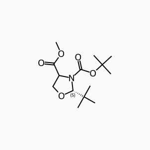 COC(=O)C1CO[C@@H](C(C)(C)C)N1C(=O)OC(C)(C)C